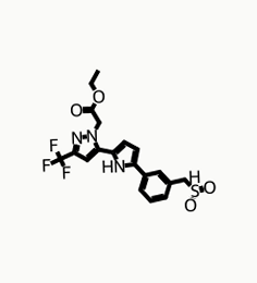 CCOC(=O)Cn1nc(C(F)(F)F)cc1-c1ccc(-c2cccc(C[SH](=O)=O)c2)[nH]1